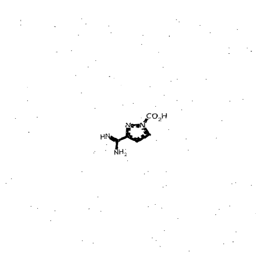 N=C(N)c1ccn(C(=O)O)n1